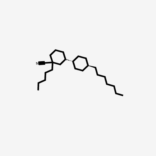 CCCCCCC[C@H]1CC[C@H](C2CCCC(C#N)(CCCCC)C2)CC1